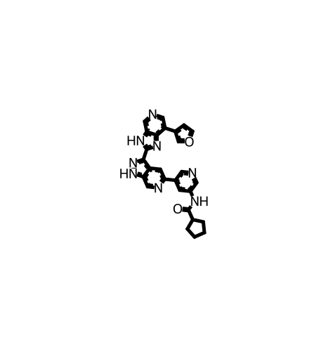 O=C(Nc1cncc(-c2cc3c(-c4nc5c(-c6ccoc6)cncc5[nH]4)n[nH]c3cn2)c1)C1CCCC1